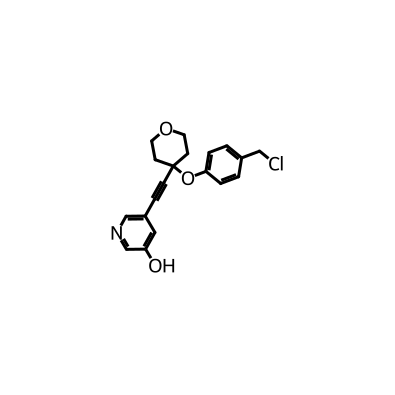 Oc1cncc(C#CC2(Oc3ccc(CCl)cc3)CCOCC2)c1